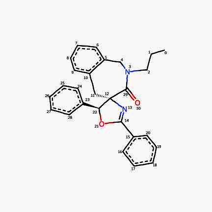 CCCN1Cc2ccccc2C[C@@]2(N=C(c3ccccc3)O[C@H]2c2ccccc2)C1=O